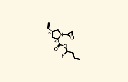 C=C[C@@H]1C[C@H](C(=O)OC(F)CCC)N(C2CO2)C1